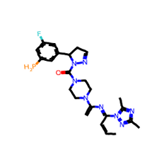 C=C(/N=C(\C=C/C)n1nc(C)nc1C)N1CCN(C(=O)N2N=CCC2c2cc(F)cc(P)c2)CC1